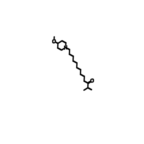 COC1CCN(CCCCCCCCCCC(=O)C(C)C)CC1